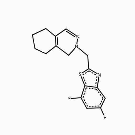 Fc1cc(F)c2sc(CN3CC4=C([C]=N3)CCCC4)nc2c1